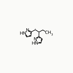 CCC([CH]c1cc[nH]n1)c1cc[nH]n1